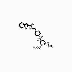 COc1cc(OC)cc(S(=O)(=O)c2ccc(CNC(=O)c3cc4ccncc4o3)cc2)c1